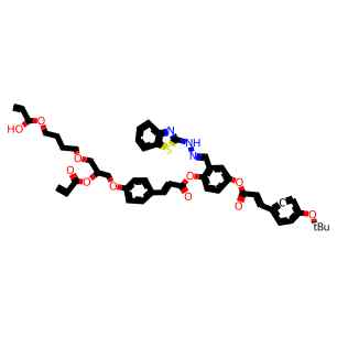 C=CC(=O)OC(COCCCCOC(O)C=C)COc1ccc(/C=C/C(=O)Oc2ccc(OC(=O)/C=C/c3ccc(OC(C)(C)C)cc3)cc2/C=N/Nc2nc3ccccc3s2)cc1